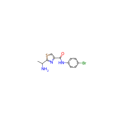 CC(N)c1nc(C(=O)Nc2ccc(Br)cc2)cs1